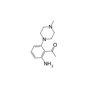 CC(=O)c1c(N)cccc1N1CCN(C)CC1